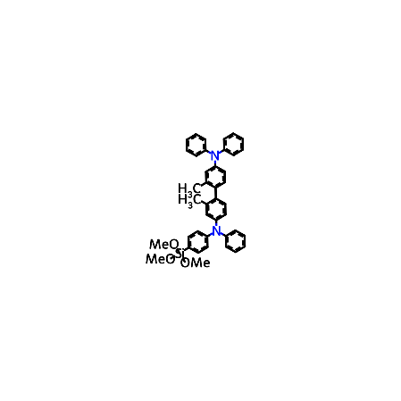 CO[Si](OC)(OC)c1ccc(N(c2ccccc2)c2ccc(-c3ccc(N(c4ccccc4)c4ccccc4)cc3C)c(C)c2)cc1